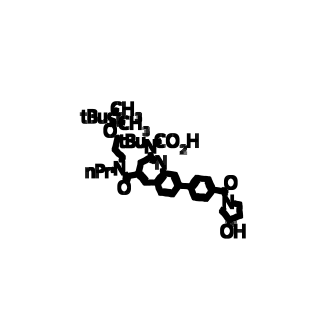 CCCN(CCCO[Si](C)(C)C(C)(C)C)C(=O)C1=Cc2ccc(-c3ccc(C(=O)N4CC[C@H](O)C4)cc3)cc2N=C(N(C(=O)O)C(C)(C)C)C1